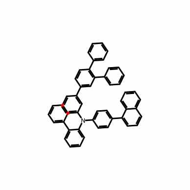 c1ccc(-c2ccc(-c3cccc(N(c4ccc(-c5cccc6ccccc56)cc4)c4ccccc4-c4ccccc4)c3)cc2-c2ccccc2)cc1